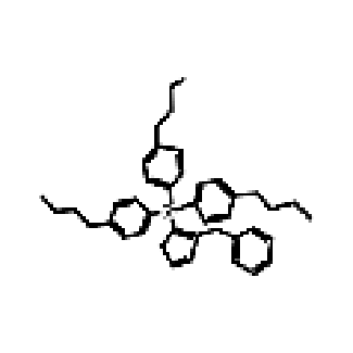 CCCCc1ccc([Si](C2=C(Cc3ccccc3)C=CC2)(c2ccc(CCCC)cc2)c2ccc(CCCC)cc2)cc1